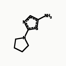 Nc1cnc(N2CCCC2)s1